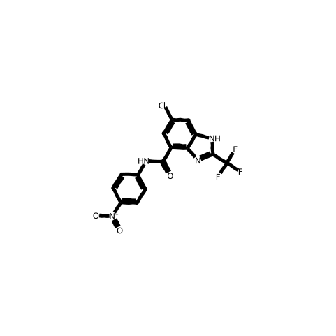 O=C(Nc1ccc([N+](=O)[O-])cc1)c1cc(Cl)cc2[nH]c(C(F)(F)F)nc12